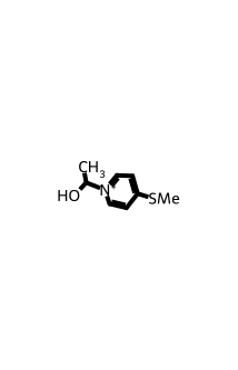 [CH2]Sc1cc[n+](C(C)O)cc1